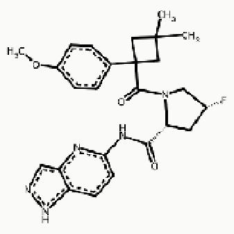 COc1ccc(C2(C(=O)N3C[C@H](F)C[C@@H]3C(=O)Nc3ccc4[nH]ncc4n3)CC(C)(C)C2)cc1